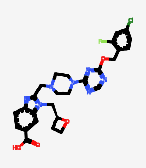 O=C(O)c1ccc2nc(CN3CCN(c4ncnc(OCc5ccc(Cl)cc5F)n4)CC3)n(C[C@@H]3CCO3)c2c1